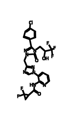 O=C(Nc1ncccc1-n1cnc(Cn2nc(-c3ccc(Cl)cc3)n(CC(O)C(F)(F)F)c2=O)n1)C1CC1(F)F